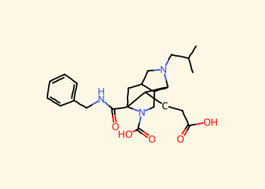 CC(C)CN1CC2CC3(C(=O)NCc4ccccc4)C(CCC(=O)O)C1C2CN3C(=O)O